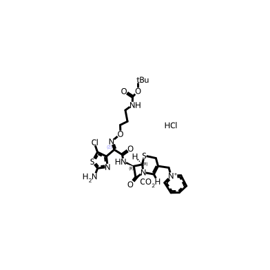 CC(C)(C)OC(=O)NCCCO/N=C(\C(=O)N[C@@H]1C(=O)N2C(C(=O)O)=C(C[n+]3ccccc3)CS[C@H]12)c1nc(N)sc1Cl.Cl